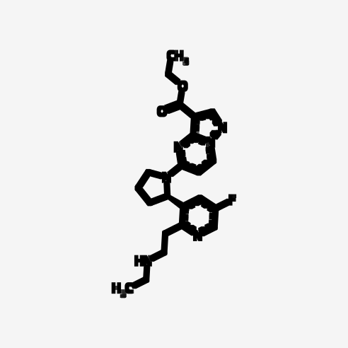 CCNCCc1ncc(F)cc1[C@H]1CCCN1c1ccn2ncc(C(=O)OCC)c2n1